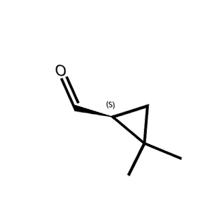 CC1(C)C[C@@H]1C=O